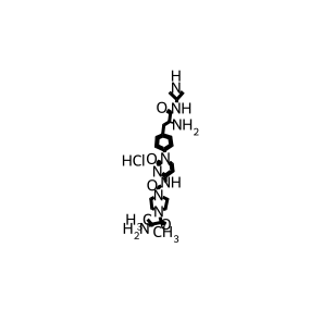 CC(C)(N)C(=O)N1CCN(C(=O)Nc2ccn(-c3ccc(C[C@H](N)C(=O)NC4CNC4)cc3)c(=O)n2)CC1.Cl